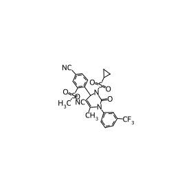 CC1=C(C#N)C(c2ccc(C#N)cc2S(C)(=O)=O)N(S(=O)(=O)C2CC2)C(=O)N1c1cccc(C(F)(F)F)c1